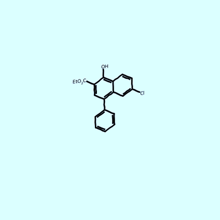 CCOC(=O)c1cc(-c2ccccc2)c2cc(Cl)ccc2c1O